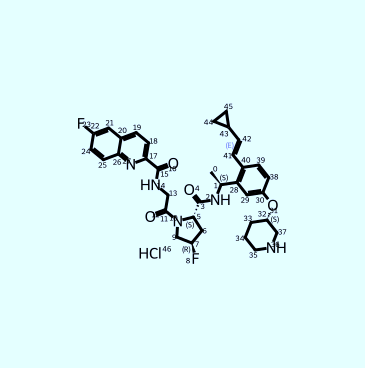 C[C@H](NC(=O)[C@@H]1C[C@@H](F)CN1C(=O)CNC(=O)c1ccc2cc(F)ccc2n1)c1cc(O[C@H]2CCCNC2)ccc1/C=C/C1CC1.Cl